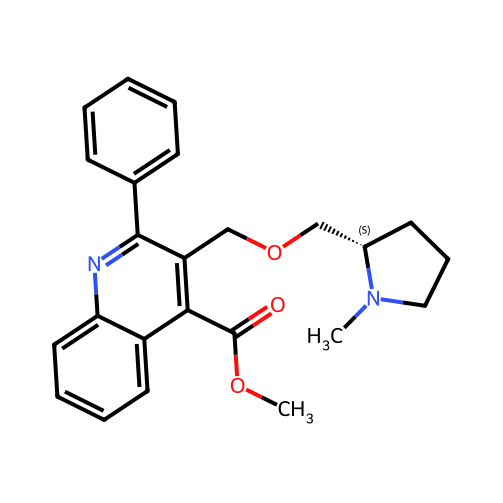 COC(=O)c1c(COC[C@@H]2CCCN2C)c(-c2ccccc2)nc2ccccc12